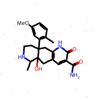 COc1ccc(C)c(C23CCNC(C)C2(O)Cc2cc(C(N)=O)c(=O)[nH]c2C3)c1